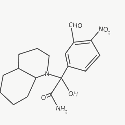 NC(=O)C(O)(c1ccc([N+](=O)[O-])c(C=O)c1)N1CCCC2CCCCC21